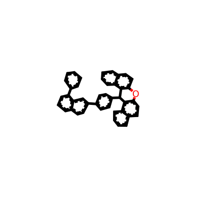 c1ccc(-c2cccc3ccc(-c4ccc(C5c6c(ccc7ccccc67)Oc6ccc7ccccc7c65)cc4)cc23)cc1